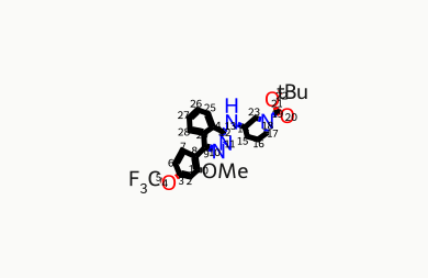 COc1cc(OC(F)(F)F)ccc1-c1nnc(NC2CCCN(C(=O)OC(C)(C)C)C2)c2ccccc12